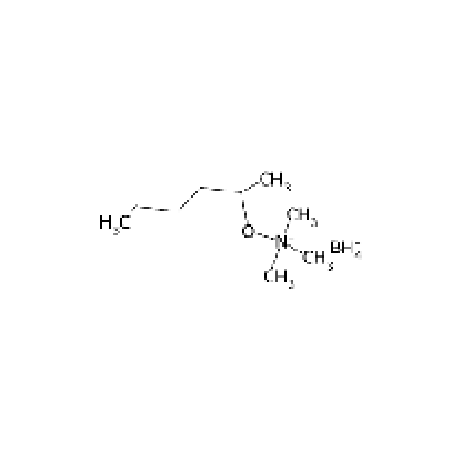 CCCCC(C)O[N+](C)(C)C.[BH4-]